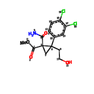 COC(=O)C1(C(N)=O)CC1(CCO)c1ccc(Cl)c(Cl)c1